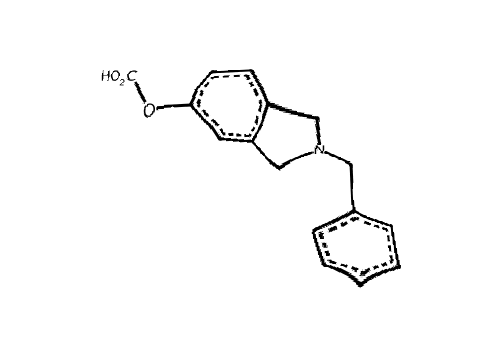 O=C(O)Oc1ccc2c(c1)CN(Cc1ccccc1)C2